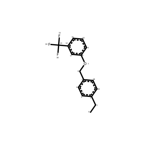 CCc1ccc(COc2cccc(C(F)(F)F)c2)cc1